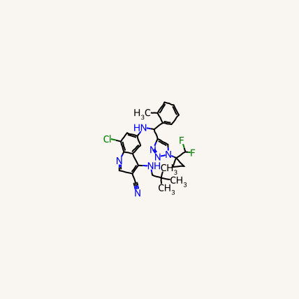 Cc1ccccc1C(Nc1cc(Cl)c2ncc(C#N)c(NCC(C)(C)C)c2c1)c1cn(C2(C(F)F)CC2)nn1